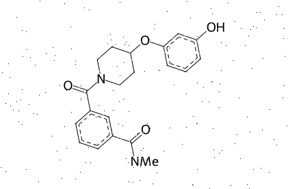 CNC(=O)c1cccc(C(=O)N2CCC(Oc3cccc(O)c3)CC2)c1